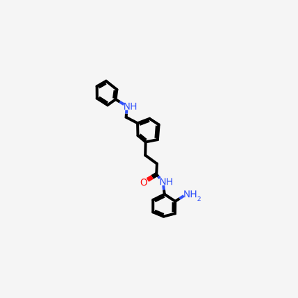 Nc1ccccc1NC(=O)CCc1cccc(CNc2ccccc2)c1